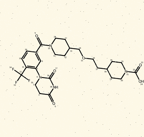 O=C1CCN(c2cc(C(=O)N3CCC(COCCC4CCN(C(=O)O)CC4)CC3)ccc2C(F)(F)F)C(=O)N1